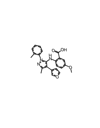 COc1ccc(Nc2c(-c3ccoc3)c(C)nn2-c2ccccc2C)c(C(=O)O)c1